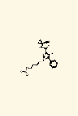 Cc1c(C(=O)NC2(C#N)CC2)nn(CCCCCO[N+](=O)[O-])c1-c1ccccc1